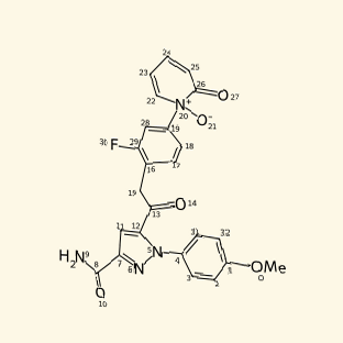 COc1ccc(-n2nc(C(N)=O)cc2C(=O)Cc2ccc([N+]3([O-])C=CC=CC3=O)cc2F)cc1